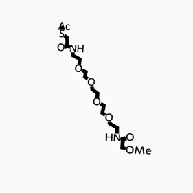 COCC(=O)NCCOCCOCCOCCOCCNC(=O)CSC(C)=O